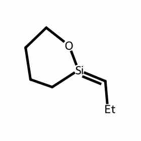 CCC=[Si]1CCCCO1